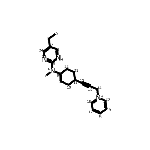 CCc1cnc(N(C)C2CCC(C#CC[n+]3ccccc3)CC2)nc1